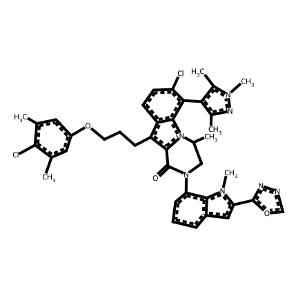 Cc1cc(OCCCc2c3n(c4c(-c5c(C)nn(C)c5C)c(Cl)ccc24)C(C)CN(c2cccc4cc(-c5nnco5)n(C)c24)C3=O)cc(C)c1Cl